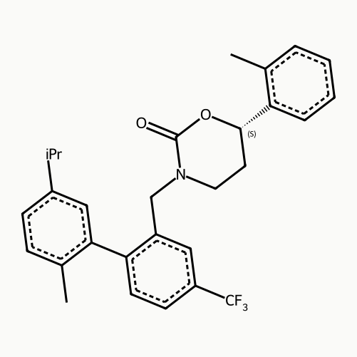 Cc1ccc(C(C)C)cc1-c1ccc(C(F)(F)F)cc1CN1CC[C@@H](c2ccccc2C)OC1=O